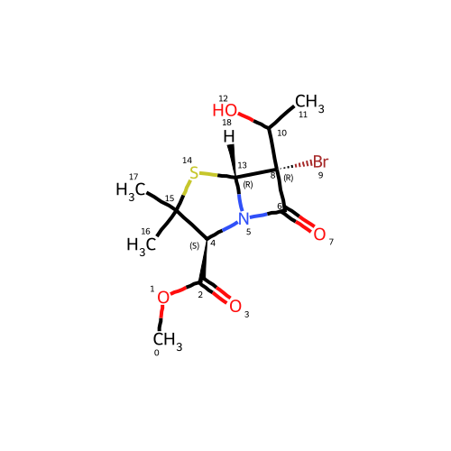 COC(=O)[C@@H]1N2C(=O)[C@](Br)(C(C)O)[C@H]2SC1(C)C